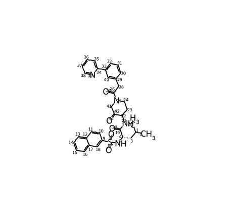 CC(C)C[C@H](NS(=O)(=O)c1ccc2ccccc2c1)C(=O)NC1CCN(C(=O)Cc2cccc(-c3ccccn3)c2)CC1=O